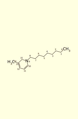 CCCCCCCCCN1C=CC=C(C)C1